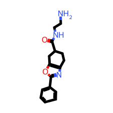 NCCNC(=O)C1CCc2nc(-c3ccccc3)oc2C1